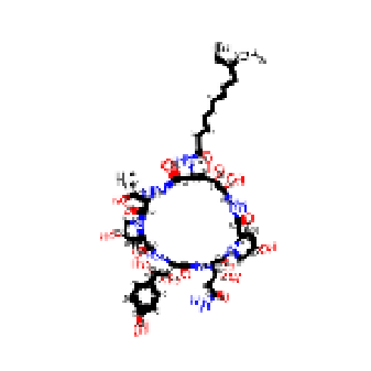 CCC(C)CC(C)CCCCCCCCC(=O)NC1C[C@H](O)[C@@H](O)NC(=O)[C@@H]2C[C@@H](O)CN2C(=O)[C@H]([C@H](O)CC(N)=O)NC(=O)[C@H](C(O)[C@H](O)c2ccc(O)cc2)NC(=O)[C@@H]2C[C@@H](O)CN2C(=O)[C@H]([C@@H](C)O)NC1=O